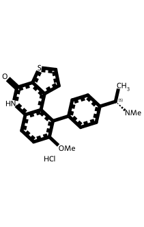 CN[C@@H](C)c1ccc(-c2c(OC)ccc3[nH]c(=O)c4sccc4c23)cc1.Cl